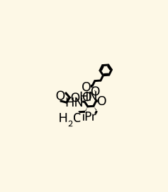 C=CC[C@H](C(=O)NO[C@@H]1CCOC1)[C@@H](CC(C)C)C(=O)NOC(=O)CCc1ccccc1